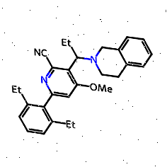 CCc1cccc(CC)c1-c1cc(OC)c(C(CC)N2CCc3ccccc3C2)c(C#N)n1